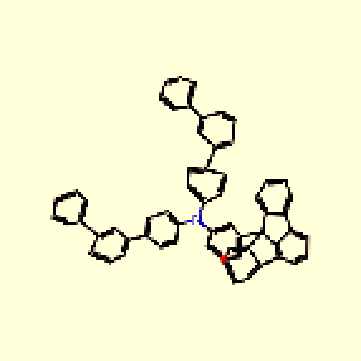 c1ccc(-c2cccc(-c3ccc(N(c4ccc(-c5cccc(-c6ccccc6)c5)cc4)c4cccc(C56c7ccccc7-c7cccc(c75)-c5ccccc56)c4)cc3)c2)cc1